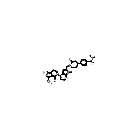 CN(C)C(=O)c1ccc([C@H]2CCN(Cc3cc4c(-n5ccc6[nH]nc(C(F)(F)F)c6c5=O)ccnc4n3C)C(=O)C2)cc1